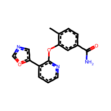 Cc1ccc(C(N)=O)cc1Oc1ncccc1-c1cnco1